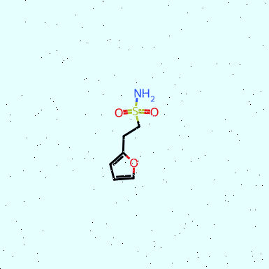 NS(=O)(=O)CCc1ccco1